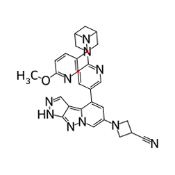 COc1ccc(CN2C3CC2CN(c2ccc(-c4cc(N5CC(C#N)C5)cn5nc6[nH]ncc6c45)cn2)C3)cn1